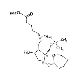 COC(=O)CCC/C=C\CC1C(O)C[C@@H](OC2CCCCO2)[C@@H]1CO[Si](C)(C)C(C)(C)C